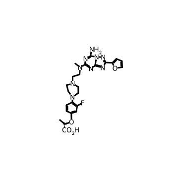 C[C@H](Oc1ccc(N2CCN(CCN(C)c3nc(N)n4nc(-c5ccco5)nc4n3)CC2)c(F)c1)C(=O)O